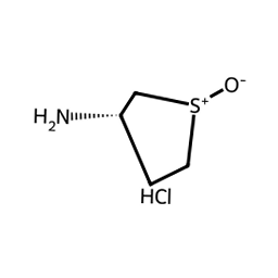 Cl.N[C@H]1CC[S+]([O-])C1